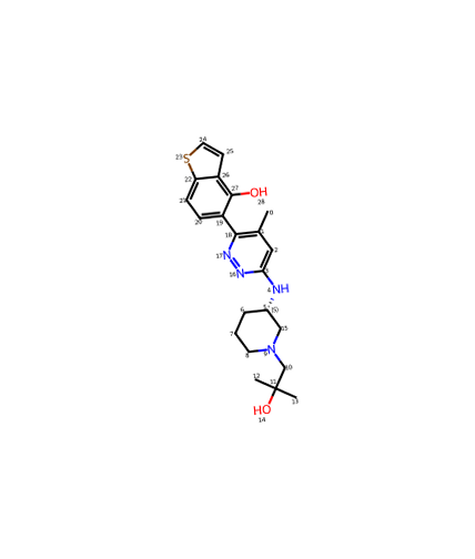 Cc1cc(N[C@H]2CCCN(CC(C)(C)O)C2)nnc1-c1ccc2sccc2c1O